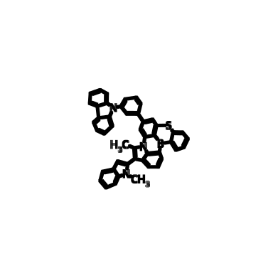 Cc1c(-c2cc3ccccc3n2C)c2cccc3c2n1-c1cc(-c2cccc(-n4c5ccccc5c5ccccc54)c2)cc2c1B3c1ccccc1S2